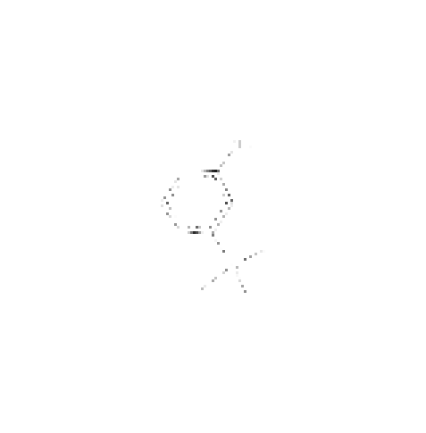 C[Si](C)(C)c1cccc([N+](=O)[O-])c1